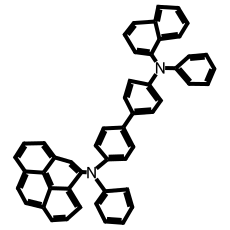 c1ccc(N(c2ccc(-c3ccc(N(c4ccccc4)c4cc5cccc6ccc7cccc4c7c65)cc3)cc2)c2cccc3ccccc23)cc1